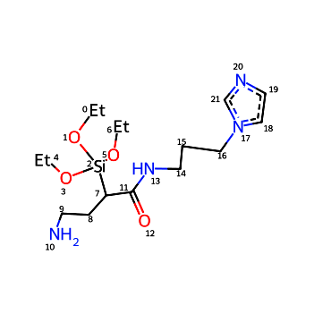 CCO[Si](OCC)(OCC)C(CCN)C(=O)NCCCn1ccnc1